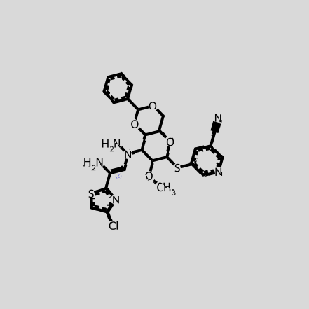 COC1C(Sc2cncc(C#N)c2)OC2COC(c3ccccc3)OC2C1N(N)/C=C(\N)c1nc(Cl)cs1